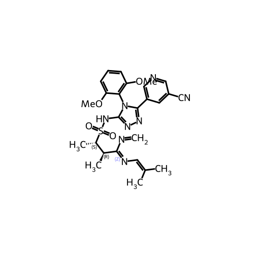 C=N/C(=N\C=C(C)C)[C@@H](C)[C@H](C)S(=O)(=O)Nc1nnc(-c2cncc(C#N)c2)n1-c1c(OC)cccc1OC